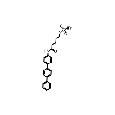 CC(C)S(=O)(=O)NCCCCC(=O)Nc1ccc(-c2ccc(-c3ccccc3)cc2)cc1